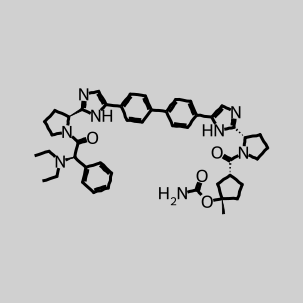 CCN(CC)[C@@H](C(=O)N1CCC[C@H]1c1ncc(-c2ccc(-c3ccc(-c4cnc([C@@H]5CCCN5C(=O)[C@@H]5CC[C@](C)(OC(N)=O)C5)[nH]4)cc3)cc2)[nH]1)c1ccccc1